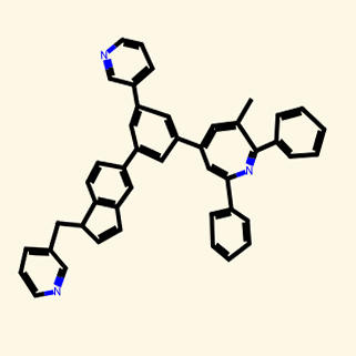 CC1=C=C(c2cc(-c3cccnc3)cc(-c3ccc4c(c3)C=CC4Cc3cccnc3)c2)C=C(c2ccccc2)N=C1c1ccccc1